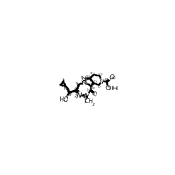 CN1N=C(C(O)C2CC2)Cn2nc3c(c2C1=O)CN(C(=O)O)CC3